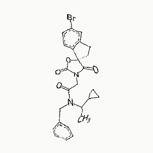 CC(C1CC1)N(Cc1ccccc1)C(=O)CN1C(=O)O[C@]2(CCc3cc(Br)ccc32)C1=O